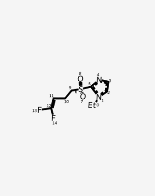 CCn1ccnc1S(=O)(=O)CCC=C(F)F